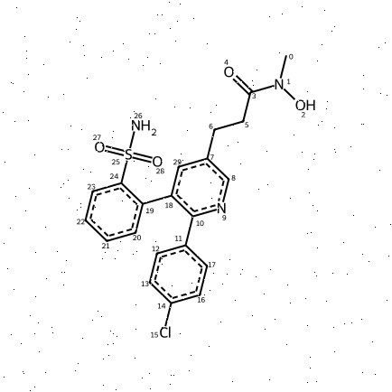 CN(O)C(=O)CCc1cnc(-c2ccc(Cl)cc2)c(-c2ccccc2S(N)(=O)=O)c1